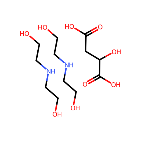 O=C(O)CC(O)C(=O)O.OCCNCCO.OCCNCCO